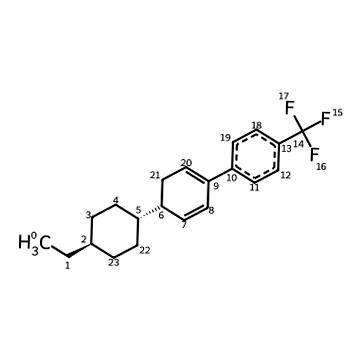 CC[C@H]1CC[C@H](C2C=CC(c3ccc(C(F)(F)F)cc3)=CC2)CC1